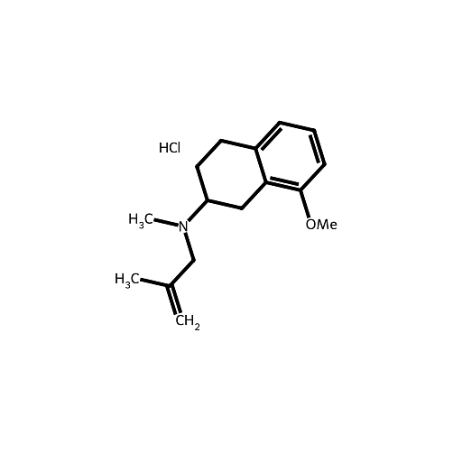 C=C(C)CN(C)C1CCc2cccc(OC)c2C1.Cl